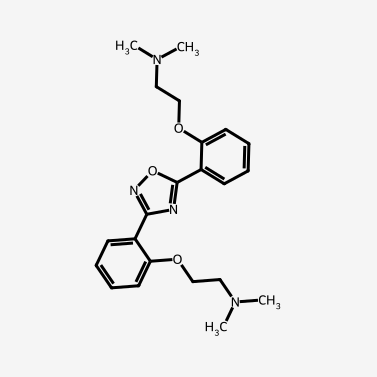 CN(C)CCOc1ccccc1-c1noc(-c2ccccc2OCCN(C)C)n1